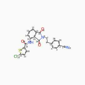 N#Cc1ccc(CCN2C(=O)c3cccc(NC(=O)c4ccc(Cl)s4)c3C2=O)cc1